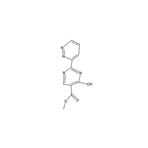 COC(=O)c1cnc(-c2cccnn2)nc1O